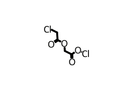 O=C(COC(=O)CCl)OCl